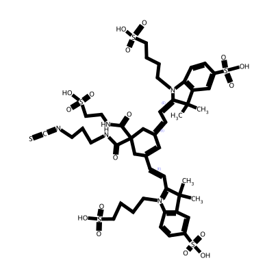 CC1(C)C(/C=C/C2=CC(=C/C=C3/N(CCCCS(=O)(=O)O)c4ccc(S(=O)(=O)O)cc4C3(C)C)/CC(C(=O)NCCCN=C=S)(C(=O)NCCS(=O)(=O)O)C2)=[N+](CCCCS(=O)(=O)O)c2ccc(S(=O)(=O)O)cc21